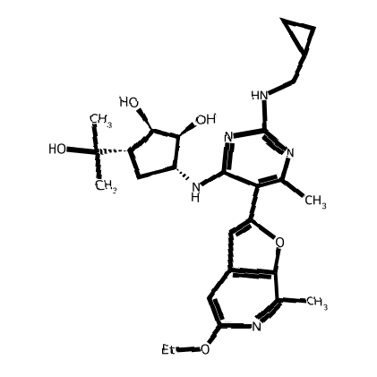 CCOc1cc2cc(-c3c(C)nc(NCC4CC4)nc3N[C@@H]3C[C@H](C(C)(C)O)[C@@H](O)[C@H]3O)oc2c(C)n1